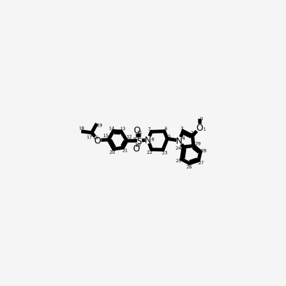 COc1cn(C2CCN(S(=O)(=O)c3ccc(OC(C)C)cc3)CC2)c2ccccc12